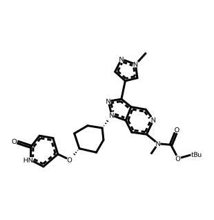 CN(C(=O)OC(C)(C)C)c1cc2c(cn1)c(-c1cnn(C)c1)nn2[C@H]1CC[C@@H](Oc2ccc(=O)[nH]c2)CC1